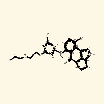 CCCOCCOc1nc(F)nc(Nc2ccc(Br)c3c2C(=O)c2cccc4snc-3c24)n1